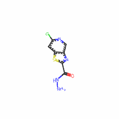 NNC(=O)c1nc2cnc(Cl)cc2s1